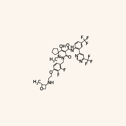 CC1OCC1NCCOc1ccc(CN2C(=O)C(C(=O)Nc3ccc(C(F)(F)F)cc3-c3cc(C(F)(F)F)ncn3)=C(O)C3(CCCC3)N2C)c(F)c1F